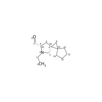 CCN1C[C@]2(C[C@H]1C=O)CC21CCCC1